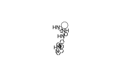 O=C(NCc1ccc(S(=O)(=O)Nc2cccc3cccnc23)cc1)c1cc2c([nH]1)C1(CCCCCCCCC1)CNC2